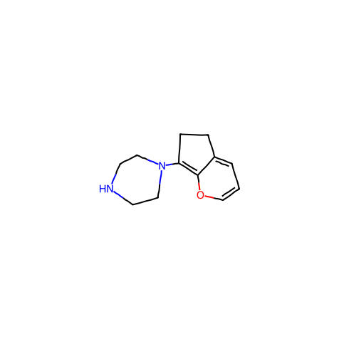 C1=COC2=C(N3CCNCC3)CCC2=C1